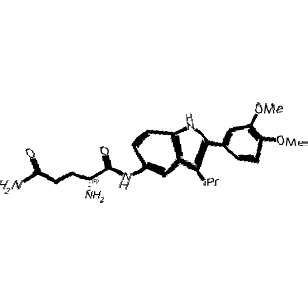 COc1ccc(-c2[nH]c3ccc(NC(=O)[C@H](N)CCC(N)=O)cc3c2C(C)C)cc1OC